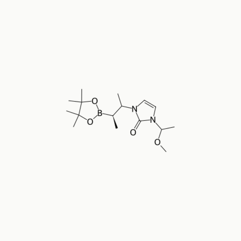 COC(C)n1ccn(C(C)[C@@H](C)B2OC(C)(C)C(C)(C)O2)c1=O